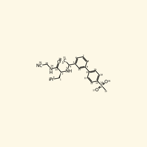 CC(C)C[C@H](NC(c1cccc(-c2ccc(S(C)(=O)=O)cc2)c1)C(F)(F)F)C(=O)NCC#N